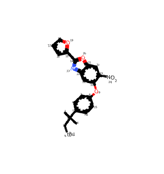 CC(C)(C)CC(C)(C)c1ccc(Oc2cc3nc(-c4ccco4)oc3cc2[N+](=O)[O-])cc1